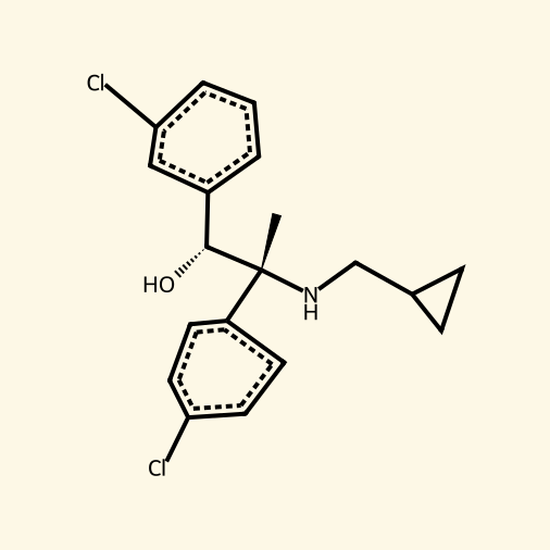 C[C@@](NCC1CC1)(c1ccc(Cl)cc1)[C@H](O)c1cccc(Cl)c1